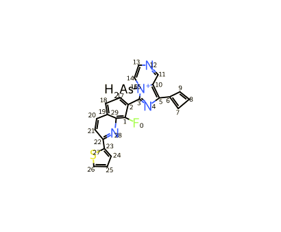 Fc1c(C2=NC(C3=CC=C3)=C3C=NC=C[N+]23[AsH2])ccc2ccc(-c3cccs3)nc12